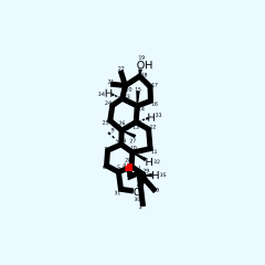 CC1(C)CC[C@]23CC[C@]4(C)[C@H](CC[C@@H]5[C@@]6(C)CC[C@H](O)C(C)(C)[C@@H]6CC[C@]54C)C2[C@H]1OC3